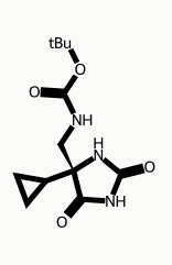 CC(C)(C)OC(=O)NC[C@@]1(C2CC2)NC(=O)NC1=O